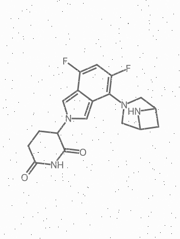 O=C1CCC(n2cc3c(F)cc(F)c(N4CC5CC(C4)N5)c3c2)C(=O)N1